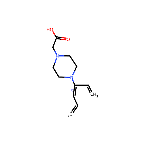 C=C/C=C(\C=C)N1CCN(CC(=O)O)CC1